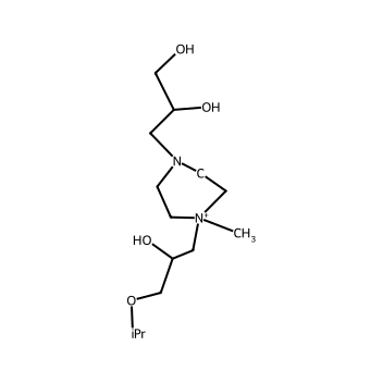 CC(C)OCC(O)C[N+]1(C)CCN(CC(O)CO)CC1